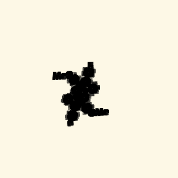 COc1ccc(N(c2cc(-c3ccccc3)cc(-c3ccc(F)cc3)c2)c2ccc3ccc4c(N(c5ccc(OC)cc5)c5cc(-c6ccccc6)cc(-c6ccc(F)cc6)c5)ccc5ccc2c3c54)cc1